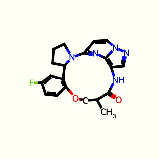 CC1COc2ccc(F)cc2C2CCCN2c2ccn3ncc(c3n2)NC1=O